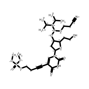 COP(=O)(OC)OCCC#Cc1cn(C2CC(OP(OCCC#N)N(C(C)C)C(C)C)C(CCO)O2)c(=O)[nH]c1=O